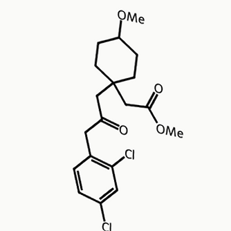 COC(=O)CC1(CC(=O)Cc2ccc(Cl)cc2Cl)CCC(OC)CC1